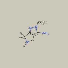 CCOC(=O)n1nc2c(c1N)CN(C)C21CC1